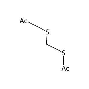 CC(=O)SCSC(C)=O